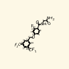 NC(=O)CNC(=O)c1ccc(OCc2cc(C(F)(F)F)cc(C(F)(F)F)c2)cc1F